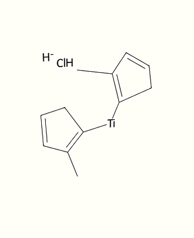 CC1=[C]([Ti][C]2=C(C)C=CC2)CC=C1.Cl.[H-]